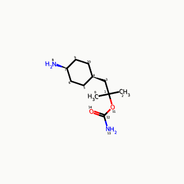 CC(C)(C[C@H]1CC[C@@H](N)CC1)OC(N)=O